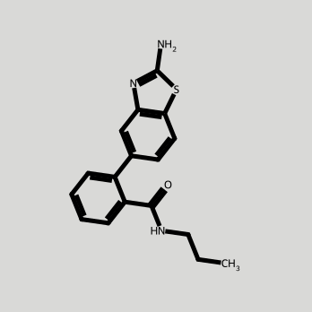 CCCNC(=O)c1ccccc1-c1ccc2sc(N)nc2c1